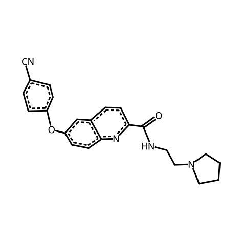 N#Cc1ccc(Oc2ccc3nc(C(=O)NCCN4CCCC4)ccc3c2)cc1